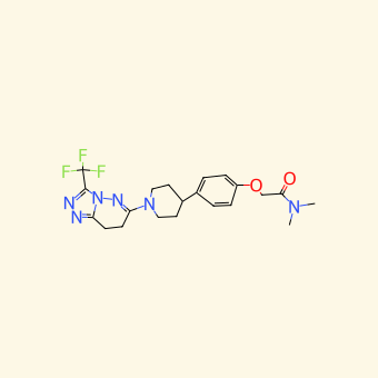 CN(C)C(=O)COc1ccc(C2CCN(C3=Nn4c(nnc4C(F)(F)F)CC3)CC2)cc1